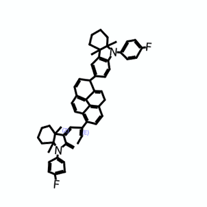 C=C1/C(=C\C(=C/C)c2ccc3c4c5c(ccc24)C=CC(c2ccc4c(c2)C2(C)CCCCC2(C)N4c2ccc(F)cc2)C5=CC3)C2(C)CCCCC2(C)N1c1ccc(F)cc1